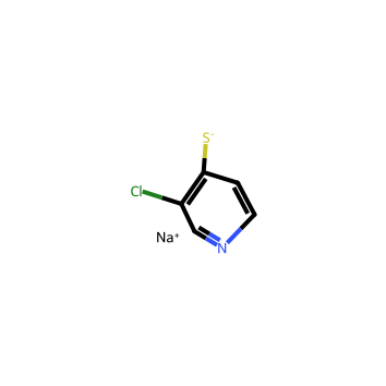 [Na+].[S-]c1ccncc1Cl